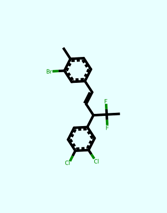 Cc1ccc(/C=C/C(c2ccc(Cl)c(Cl)c2)C(C)(F)F)cc1Br